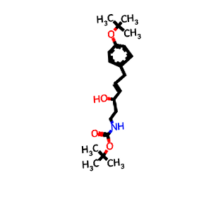 CC(C)(C)OC(=O)NCCC(O)C=CCc1ccc(OC(C)(C)C)cc1